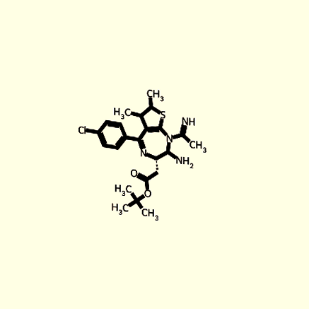 CC(=N)N1C2=C(C(c3ccc(Cl)cc3)=N[C@@H](CC(=O)OC(C)(C)C)C1N)C(C)C(C)S2